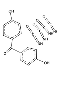 N=C=O.N=C=O.N=C=O.N=C=O.O=C(c1ccc(O)cc1)c1ccc(O)cc1